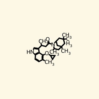 Cc1ccc2[nH]cc(C(C)CC(=O)N3C(C)CC4(C)CC3CC(C)(C)C4)c2c1OC1CC1